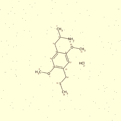 COc1cc(CC(C)N)c(OC)cc1CSC.Cl